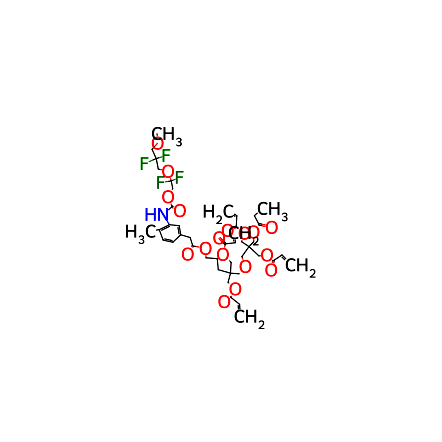 C=CC(=O)OCC(CCCOC(=O)Cc1ccc(C)c(NC(=O)OCC(F)(F)OCC(F)(F)COC)c1)(COCC(COC(=O)C=C)(COC(=O)C=C)COC(=O)CC)COC(=O)C=C